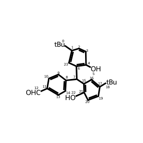 CC(C)(C)c1ccc(O)c(C(c2ccc(C=O)cc2)c2cc(C(C)(C)C)ccc2O)c1